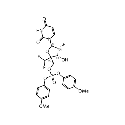 COc1ccc(OP(=O)(OC[C@@]2(C(F)F)O[C@@H](n3ccc(=O)[nH]c3=O)[C@H](F)[C@@H]2O)Oc2ccc(OC)cc2)cc1